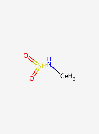 O=[SH](=O)[NH][GeH3]